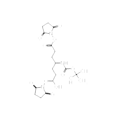 CC(C)(C)OC(=O)NC(CCC(=O)ON1C(=O)CCC1=O)CCC(O)ON1C(=O)CCC1=O